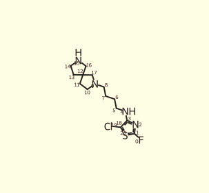 Fc1nc(NCCCCN2CCC3(CCNC3)C2)c(Cl)s1